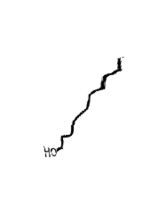 [CH2]CCCCCCCCCO